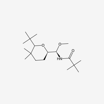 CO[C@@H](NC(=O)C(C)(C)C)[C@H]1CCC(C)(C)C(C(C)(C)C)O1